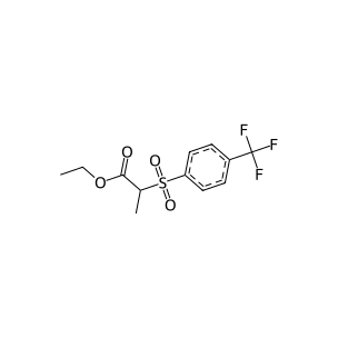 CCOC(=O)C(C)S(=O)(=O)c1ccc(C(F)(F)F)cc1